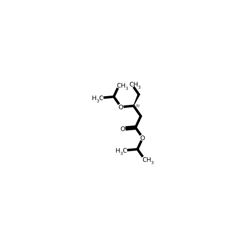 CC[C@@H](CC(=O)OC(C)C)OC(C)C